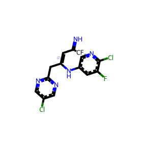 N=C(/C=C(/Cc1ncc(Cl)cn1)Nc1cnc(Cl)c(F)c1)C(F)(F)F